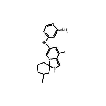 CC1=CC(Nc2cc(N)ncn2)=CN2C1=CNC21CCCC(C)C1